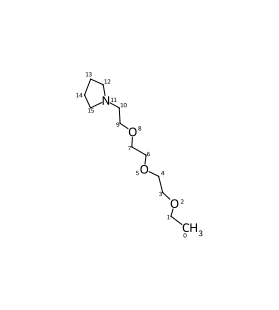 CCOCCOCCOCCN1CCCC1